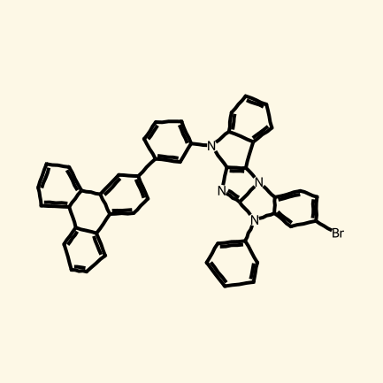 Brc1ccc2c(c1)n(-c1ccccc1)c1nc3c(c4ccccc4n3-c3cccc(-c4ccc5c6ccccc6c6ccccc6c5c4)c3)n21